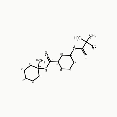 CCC(C)(C)C(=O)OC1CCCC(C(=O)OC2(C)CCCCC2)C1